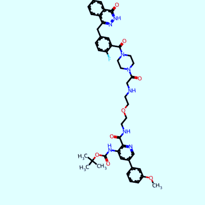 COc1cccc(-c2cnc(C(=O)NCCOCCNCC(=O)N3CCN(C(=O)c4cc(Cc5n[nH]c(=O)c6ccccc56)ccc4F)CC3)c(NC(=O)OC(C)(C)C)c2)c1